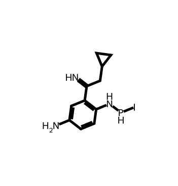 N=C(CC1CC1)c1cc(N)ccc1NPI